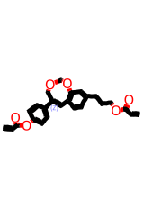 C=CC(=O)OCCCc1ccc2c(c1)OCOC/C(c1ccc(OC(=O)C=C)cc1)=C\2